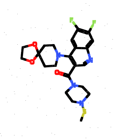 CSN1CCN(C(=O)c2cnc3cc(F)c(F)cc3c2N2CCC3(CC2)OCCO3)CC1